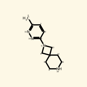 Cc1ccc(N2CC3(CCNCC3)C2)nn1